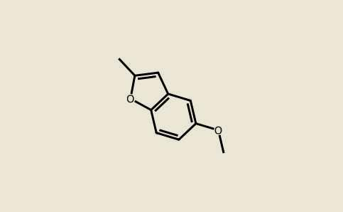 COc1ccc2oc(C)cc2c1